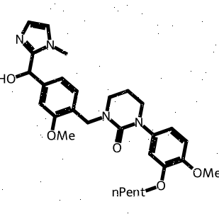 CCCCCOc1cc(N2CCCN(Cc3ccc(C(O)c4nccn4C)cc3OC)C2=O)ccc1OC